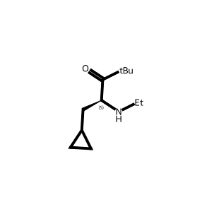 CCN[C@@H](CC1CC1)C(=O)C(C)(C)C